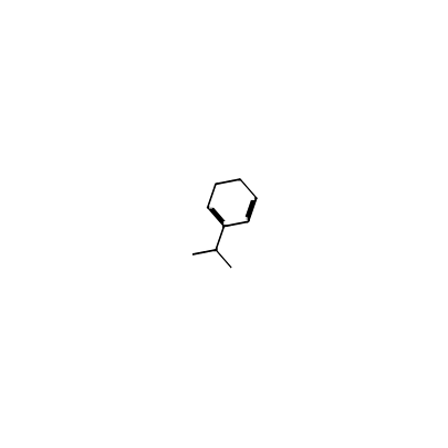 CC(C)C1=CCCC=C1